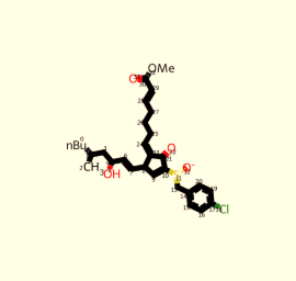 CCCCC(C)CC(O)C=CC1C=C([S+]([O-])Cc2ccc(Cl)cc2)C(=O)C1=CCCCC=CC(=O)OC